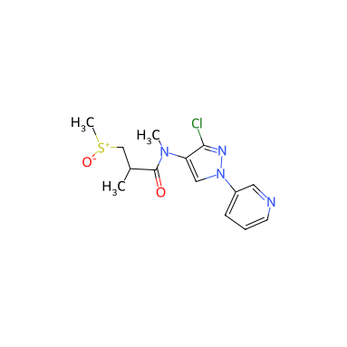 CC(C[S+](C)[O-])C(=O)N(C)c1cn(-c2cccnc2)nc1Cl